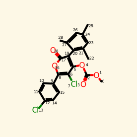 COC(=O)Oc1c(Cl)c(-c2ccc(Cl)cc2)oc(=O)c1-c1c(C)cc(C)cc1C